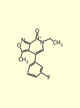 CCn1cc(-c2cccc(F)c2)c2c(C)onc2[n+]1=O